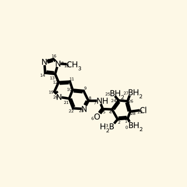 Bc1c(B)c(C(=O)Nc2cc3cc(-c4cncn4C)cnc3cn2)c(B)c(B)c1Cl